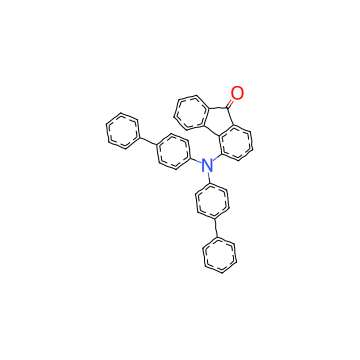 O=C1c2ccccc2-c2c1cccc2N(c1ccc(-c2ccccc2)cc1)c1ccc(-c2ccccc2)cc1